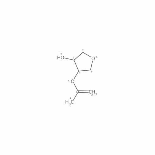 C=C(C)OC1COCC1O